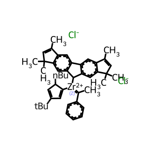 CCCCC1C=C(C(C)(C)C)C=[C]1/[Zr+2](=[C](/C)c1ccccc1)[CH]1c2cc3c(cc2-c2cc4c(cc21)C(C)(C)C=C4C)C(C)=CC3(C)C.[Cl-].[Cl-]